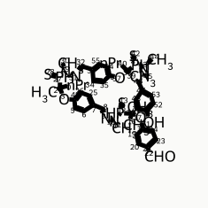 CCCC(C)(Oc1ccc(/C=N/N(C)[PH](=S)C(C)(C)Oc2ccc(C=O)cc2)cc1)[PH](=S)N(C)/N=C/c1ccc(OC(C)(CCC)[PH](=S)N(C)/N=C/c2ccc(O)cc2)cc1